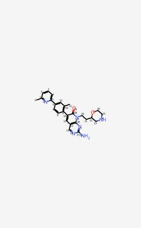 Cc1cccc(-c2ccc(-c3cc4cnc(N)nc4n(CCC4CNCCO4)c3=O)c(C)c2)n1